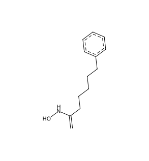 C=C(CCCCCc1ccccc1)NO